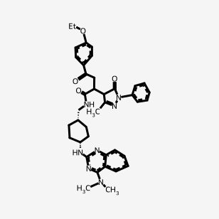 CCOc1ccc(C(=O)CC(C(=O)NC[C@H]2CC[C@@H](Nc3nc(N(C)C)c4ccccc4n3)CC2)C2C(=O)N(c3ccccc3)N=C2C)cc1